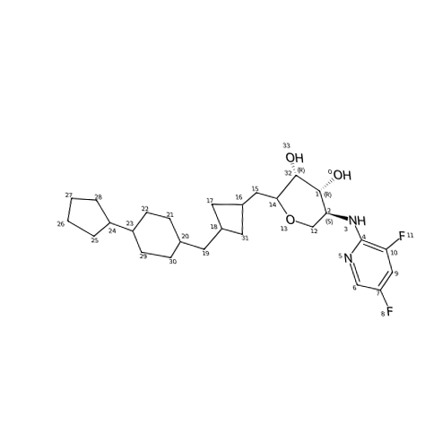 O[C@@H]1[C@@H](Nc2ncc(F)cc2F)COC(CC2CC(CC3CCC(C4CCCC4)CC3)C2)[C@@H]1O